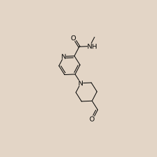 CNC(=O)c1cc(N2CCC(C=O)CC2)ccn1